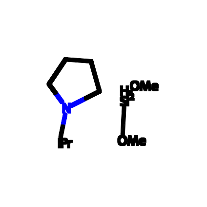 CC(C)N1CCCC1.CO[SiH2]OC